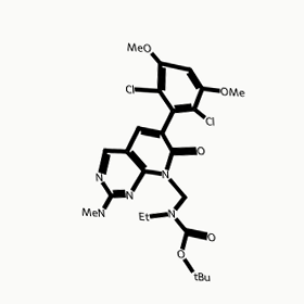 CCN(Cn1c(=O)c(-c2c(Cl)c(OC)cc(OC)c2Cl)cc2cnc(NC)nc21)C(=O)OC(C)(C)C